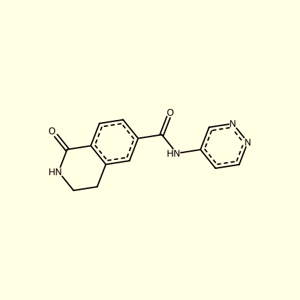 O=C(Nc1ccnnc1)c1ccc2c(c1)CCNC2=O